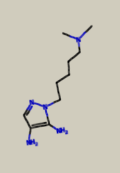 CN(C)CCCCCn1ncc(N)c1N